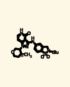 C[C@H]1CCOCC1n1nc(Nc2ccc3c(c2)CN(C(C)(C)C)S3(=O)=O)c2c(=O)[nH]ccc21